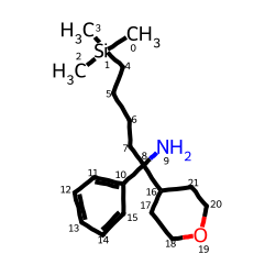 C[Si](C)(C)CCCCC(N)(c1ccccc1)C1CCOCC1